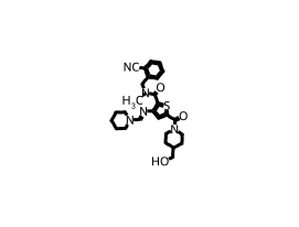 CN(Cc1ccccc1C#N)C(=O)c1sc(C(=O)N2CCC(CO)CC2)cc1/N=C/N1CCCCC1